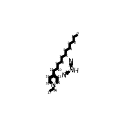 CCCCCCCCCCCCc1cc[n+](CC)cc1.N#CNC#N